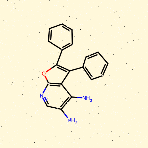 Nc1cnc2oc(-c3ccccc3)c(-c3ccccc3)c2c1N